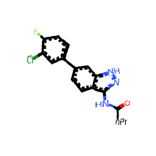 CCCC(=O)Nc1n[nH]c2cc(-c3ccc(F)c(Cl)c3)ccc12